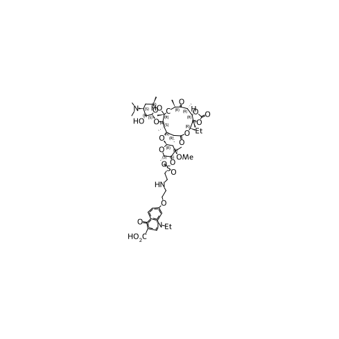 CC[C@H]1OC(=O)[C@H](C)[C@@H](O[C@H]2C[C@@](C)(OC)[C@@H](OS(=O)(=O)CCNCCOc3ccc4c(=O)c(C(=O)O)cn(CC)c4c3)[C@H](C)O2)[C@H](C)[C@@H](O[C@@H]2O[C@H](C)C[C@H](N(C)C)[C@H]2O)[C@](C)(O)C[C@@H](C)C(=O)[C@H](C)[C@H]2OC(=O)O[C@@]21C